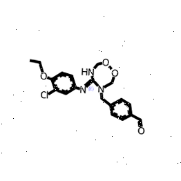 CCOc1ccc(/N=C2\NCOOCN2Cc2ccc(C=O)cc2)cc1Cl